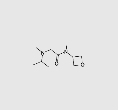 CC(C)N(C)CC(=O)N(C)C1COC1